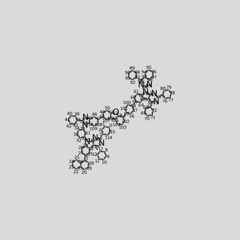 c1ccc(-c2nc(-c3ccccc3)c3c4cc(-c5cccc6ccccc56)ccc4n(-c4cccc(-n5c(-c6ccccc6)nc6cc(-c7ccc8oc9c(-c%10ccc(-c%11ccc%12c(c%11)c%11c(-c%13ccccc%13)nc(-c%13ccccc%13)nc%11n%12-c%11nc(-c%12ccccc%12)c%12ccccc%12n%11)cc%10)cccc9c8c7)ccc65)c4)c3n2)cc1